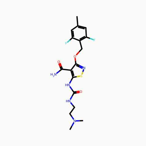 Cc1cc(F)c(COc2nsc(NC(=O)NCCN(C)C)c2C(N)=O)c(F)c1